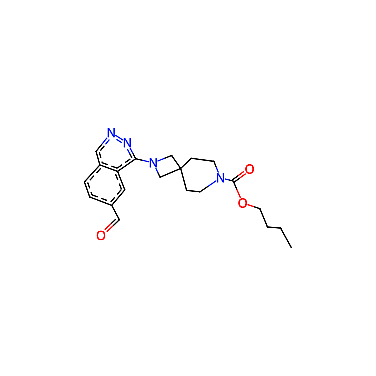 CCCCOC(=O)N1CCC2(CC1)CN(c1nncc3ccc(C=O)cc13)C2